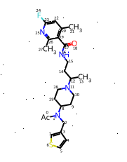 CC(=O)N(Cc1ccsc1)C1CCN(C(C)CCNC(=O)c2c(C)cc(F)nc2C)CC1